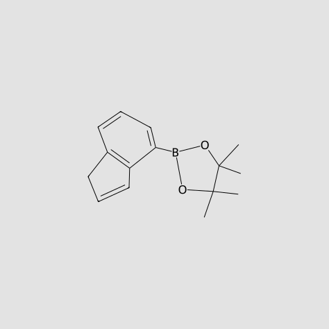 CC1(C)OB(c2cccc3c2C=CC3)OC1(C)C